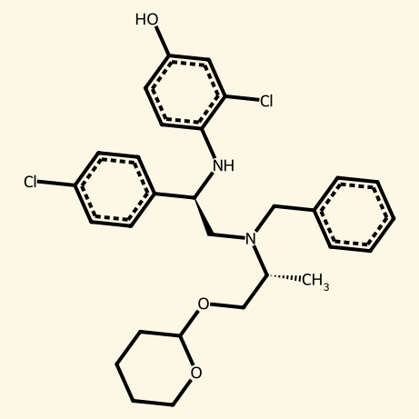 C[C@H](COC1CCCCO1)N(Cc1ccccc1)C[C@H](Nc1ccc(O)cc1Cl)c1ccc(Cl)cc1